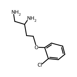 NCC(N)CCOc1ccccc1Cl